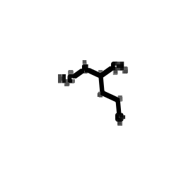 CSC(C)CC[O]